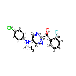 CN(c1ccc(Cl)cc1)c1cnc(C(=O)c2cc[c]cc2F)nc1